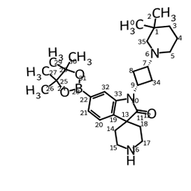 CC1(C)CCCN([C@H]2C[C@@H](N3C(=O)C4(CCNCC4)c4ccc(B5OC(C)(C)C(C)(C)O5)cc43)C2)C1